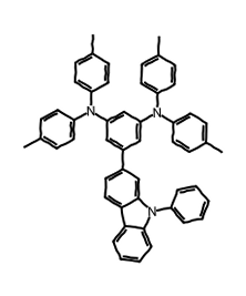 Cc1ccc(N(c2ccc(C)cc2)c2cc(-c3ccc4c5ccccc5n(-c5ccccc5)c4c3)cc(N(c3ccc(C)cc3)c3ccc(C)cc3)c2)cc1